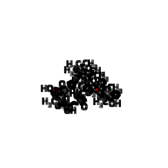 CC[C@H](C)[C@@H]([C@@H](CC(=O)N1CCC[C@H]1[C@H](OC)[C@@H](C)C(=O)N[C@H](C)[C@@H](O)c1ccccc1)OC)N(C)C(=O)[C@@H](NC(=O)[C@H](C(C)C)N(C)C(=O)OCc1ccc(NC(=O)[C@H](CC(=O)O)NC(=O)[C@H](C)NC(=O)[C@@H](CO)NC(=O)CCN2C(=O)C=CC2=O)cc1)C(C)C